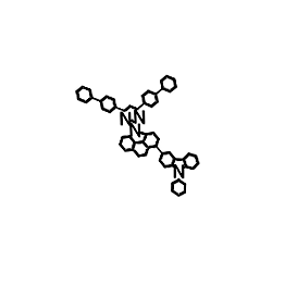 c1ccc(-c2ccc(-c3cc(-c4ccc(-c5ccccc5)cc4)nc(-n4c5cccc6ccc7c(-c8ccc9c(c8)c8ccccc8n9-c8ccccc8)ccc4c7c65)n3)cc2)cc1